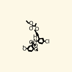 CCOC(=O)C(C)OCC#Cc1cc(Cl)ccc1NS(=O)(=O)c1cc(OC)ccc1OC